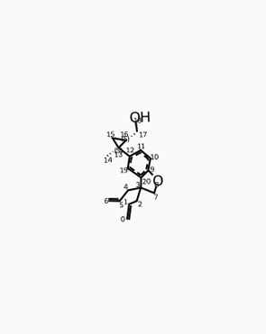 C=CCC1(CC=C)COc2ccc([C@@]3(C)C[C@@H]3CO)cc21